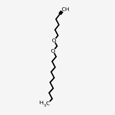 C#CCCCCOCOCCCCCCCCCC